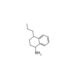 CCCC1CCC(N)c2ccccc21